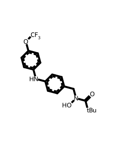 CC(C)(C)C(=O)N(O)Cc1ccc(Nc2ccc(OC(F)(F)F)cc2)cc1